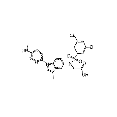 CNc1ccc(-n2cc(I)c3cc(N(CC(=O)O)S(=O)(=O)C4C=C(Cl)C=C(Cl)C4)ccc32)nn1